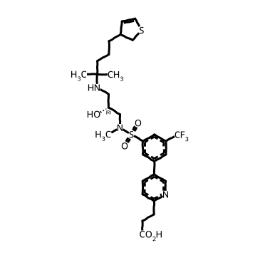 CN(C[C@H](O)CNC(C)(C)CCCC1C=CSC1)S(=O)(=O)c1cc(-c2ccc(CCC(=O)O)nc2)cc(C(F)(F)F)c1